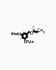 C=CC(=O)OCc1cc(OC)cc(OC)c1